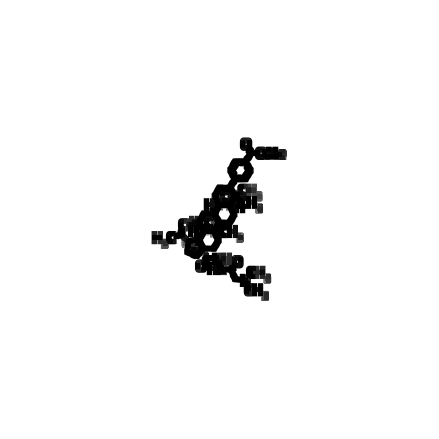 C=C(C)[C@@H]1CC[C@]2(C(=O)NNC(=O)CN(C)C)CC[C@]3(C)[C@H](CC[C@@H]4[C@@]5(C)CC=C(c6ccc(C(=O)OC)cc6)C(C)(C)[C@@H]5CC[C@]43C)[C@@H]12